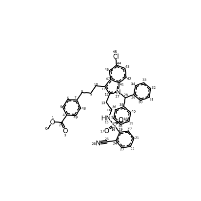 COC(=O)c1ccc(CCCc2c(CCNS(=O)(=O)c3ccccc3C#N)n(C(c3ccccc3)c3ccccc3)c3ccc(Cl)cc23)cc1